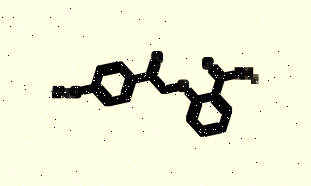 COc1ccc(C(=O)COc2ccccc2C(N)=O)cc1